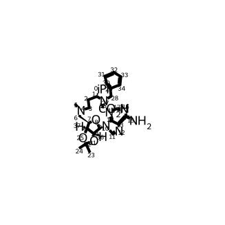 CC(C)[C@@H](CCN(C)C[C@H]1O[C@@H](n2cnc3c(N)ncnc32)[C@@H]2OC(C)(C)O[C@@H]21)N(Cc1ccccc1)C(=O)O